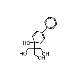 OCC(CO)(CO)C1(O)C=CC(c2ccccc2)=CC1